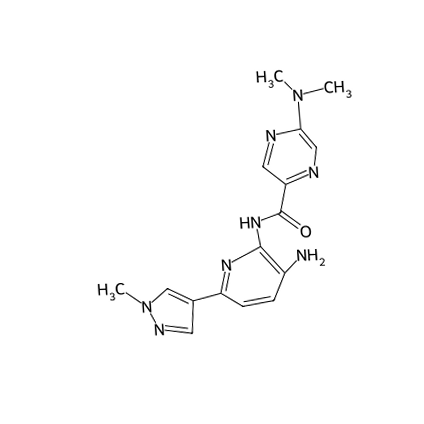 CN(C)c1cnc(C(=O)Nc2nc(-c3cnn(C)c3)ccc2N)cn1